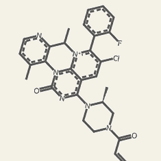 C=CC(=O)N1CCN(c2nc(=O)n3c4c2cc(Cl)c(-c2ccccc2F)[n+]4C(C)c2nccc(C)c2-3)[C@@H](C)C1